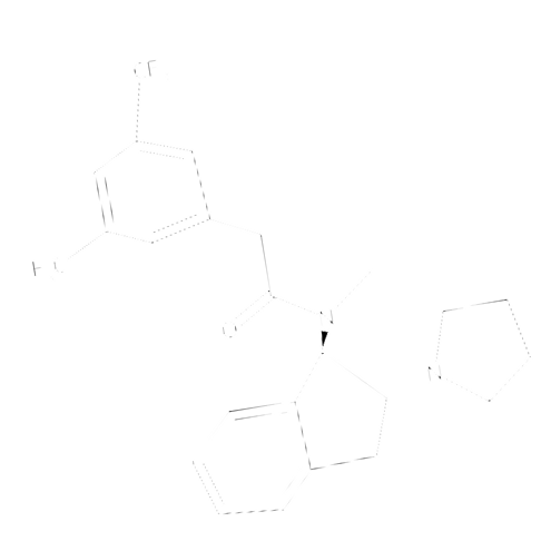 CN(C(=O)Cc1cc(C(F)(F)F)cc(C(F)(F)F)c1)[C@@H]1c2ccccc2C[C@H]1N1CCCC1